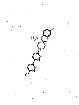 Cc1ccc2c(c1)CC1(CCN(c3ccc(-c4ccc(Cl)nn4)nn3)CC1)[C@@H]2N